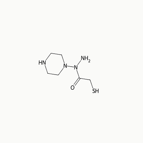 NN(C(=O)CS)N1CCNCC1